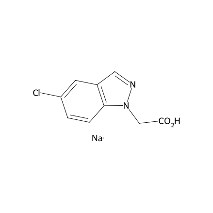 O=C(O)Cn1ncc2cc(Cl)ccc21.[Na]